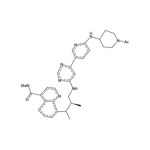 CNC(=O)c1ccnc2c(C(C)[C@H](C)CNc3cc(-c4ccc(NC5CCN(C(C)=O)CC5)nc4)ncn3)cccc12